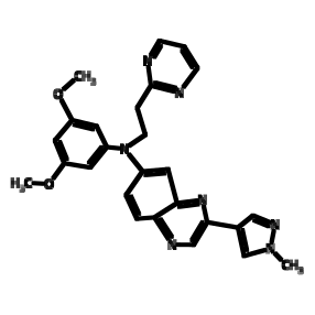 COc1cc(OC)cc(N(CCc2ncccn2)c2ccc3ncc(-c4cnn(C)c4)nc3c2)c1